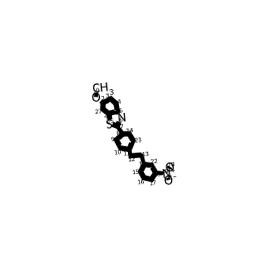 COc1ccc2nc(-c3ccc(/C=C/c4cccc([N+](=O)[O-])c4)cc3)sc2c1